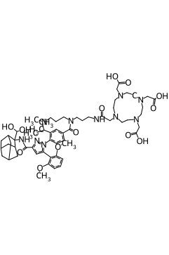 COc1cccc(OC)c1-c1cc(C(=O)NC2(C(O)O)C3CC4CC(C3)CC2C4)nn1-c1ccc(C(=O)N(CCCNC(=O)CN2CCN(CC(=O)O)CCN(CC(=O)O)CCN(CC(=O)O)CC2)CCCN(C)C)cc1C(C)C